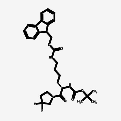 CC(C)(C)OC(=O)N[C@@H](CCCCNC(=O)OCC1c2ccccc2-c2ccccc21)C(=O)N1CCC(F)(F)C1